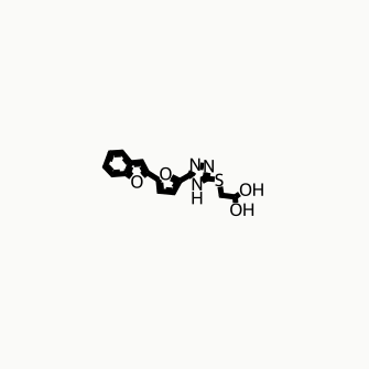 OC(O)CSc1nnc(-c2ccc(-c3cc4ccccc4o3)o2)[nH]1